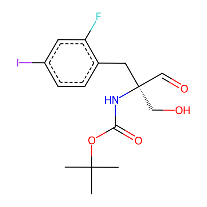 CC(C)(C)OC(=O)N[C@@](C=O)(CO)Cc1ccc(I)cc1F